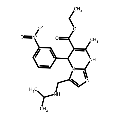 CCOC(=O)C1=C(C)Nc2ncc(CNC(C)C)n2C1c1cccc([N+](=O)[O-])c1